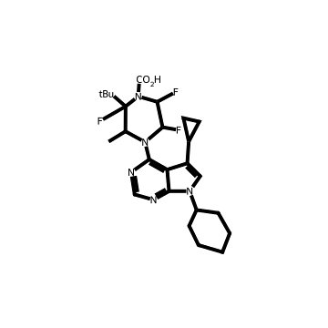 CC1N(c2ncnc3c2c(C2CC2)cn3C2CCCCC2)C(F)C(F)N(C(=O)O)C1(F)C(C)(C)C